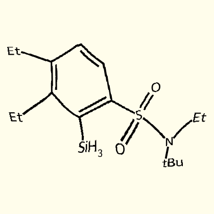 CCc1ccc(S(=O)(=O)N(CC)C(C)(C)C)c([SiH3])c1CC